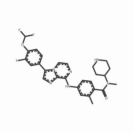 Cc1cc(Nc2nccn3c(-c4ccc(OC(F)F)c(F)c4)cnc23)ccc1C(=O)N(C)C1CCNCC1